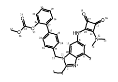 CCc1nc2c(C)cc(Nc3c(N(C)C)c(=O)c3=O)cc2n1Cc1ccc(-c2ccccc2OC(=O)OC)cc1